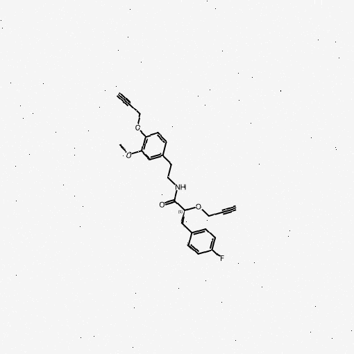 C#CCOc1ccc(CCNC(=O)[C@H](Cc2ccc(F)cc2)OCC#C)cc1OC